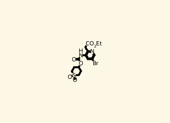 CCOC(=O)Cc1ncc(Br)cc1NC(=O)OC1CCS(=O)(=O)CC1